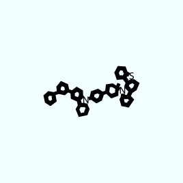 CC1(n2c3ccccc3c3ccc4sc5ccccc5c4c32)C=CC(c2ccc(-n3c4c(c5cc(-c6cccc(-c7ccccc7)c6)ccc53)CCC=C4)cc2)=CC1